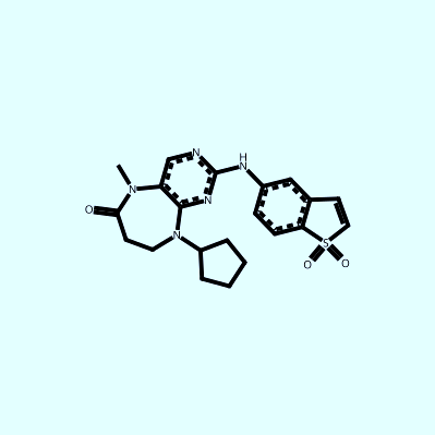 CN1C(=O)CCN(C2CCCC2)c2nc(Nc3ccc4c(c3)C=CS4(=O)=O)ncc21